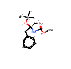 CC(C)(C)OC(=O)N[C@@](CC#N)(Cc1ccccc1)O[Si](C)(C)C(C)(C)C